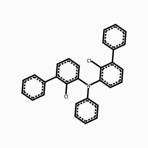 Clc1c(-c2ccccc2)cccc1N(c1ccccc1)c1cccc(-c2ccccc2)c1Cl